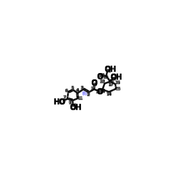 O=C(/C=C/c1ccc(O)c(O)c1)O[C@H]1CCC[C@@](O)(C(=O)O)C1